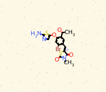 CC(=O)c1cc(/C=C2\SC(=O)N(C)C2=O)c(Br)cc1Oc1cnc(N)s1